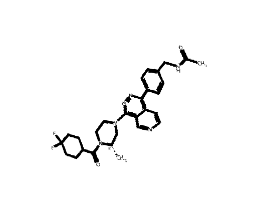 CC(=O)NCc1ccc(-c2nnc(N3CCN(C(=O)C4CCC(F)(F)CC4)[C@@H](C)C3)c3cnccc23)cc1